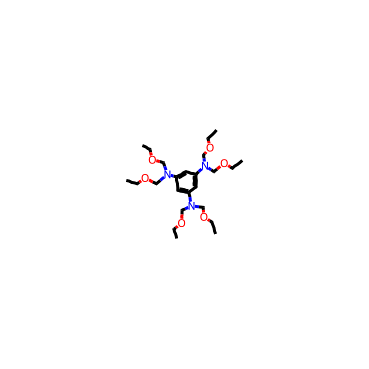 CCOCN(COCC)c1cc(N(COCC)COCC)cc(N(COCC)COCC)c1